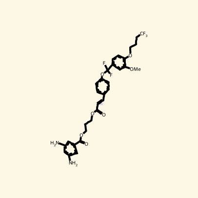 COc1cc(C(F)(F)Oc2ccc(/C=C/C(=O)OCCCOC(=O)c3cc(N)cc(N)c3)cc2)ccc1OCCCC(F)(F)F